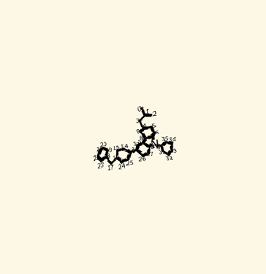 CC(C)Cc1ccc2c(c1)c1cc(-c3ccc(Cc4ccccc4)cc3)ccc1n2-c1ccccc1